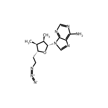 C[C@@H]1[C@H](C)[C@@H](CCN=[N+]=[N-])O[C@H]1n1cnc2c(N)ncnc21